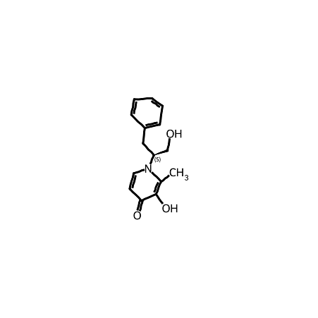 Cc1c(O)c(=O)ccn1[C@H](CO)Cc1ccccc1